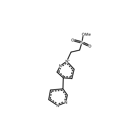 COS(=O)(=O)CC[n+]1ccc(-c2ccnnc2)cn1